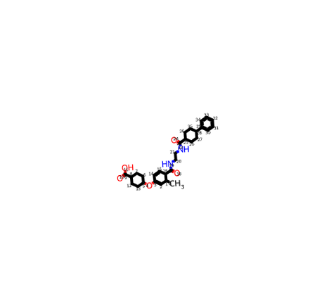 CC1C=C(OC2CCC(C(=O)O)CC2)C=CC1C(=O)NCCNC(=O)C1CCC(c2ccccc2)CC1